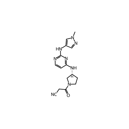 Cn1cc(Nc2nccc(N[C@@H]3CCN(C(=O)CC#N)C3)n2)cn1